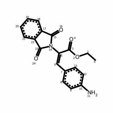 CCOC(=O)/C(=C\c1ccc(N)cc1)N1C(=O)c2ccccc2C1=O